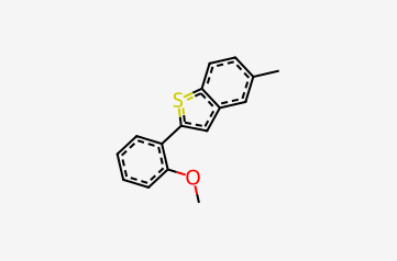 COc1ccccc1-c1cc2cc(C)ccc2s1